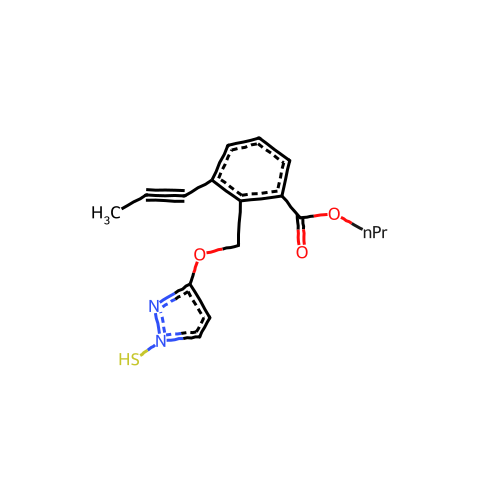 CC#Cc1cccc(C(=O)OCCC)c1COc1ccn(S)n1